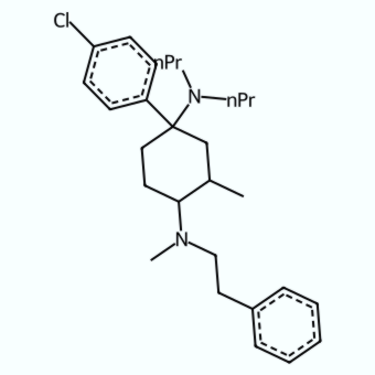 CCCN(CCC)C1(c2ccc(Cl)cc2)CCC(N(C)CCc2ccccc2)C(C)C1